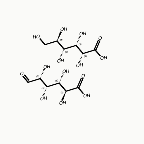 O=C(O)[C@H](O)[C@@H](O)[C@H](O)[C@H](O)CO.O=C[C@H](O)[C@@H](O)[C@H](O)[C@H](O)C(=O)O